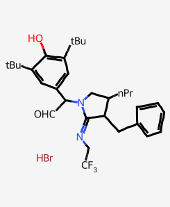 Br.CCCC1CN(C(C=O)c2cc(C(C)(C)C)c(O)c(C(C)(C)C)c2)C(=NCC(F)(F)F)C1Cc1ccccc1